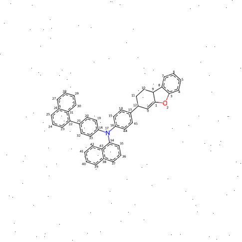 C1=C2Oc3ccccc3C2CCC1c1ccc(N(c2ccc(-c3cccc4ccccc34)cc2)c2cccc3ccccc23)cc1